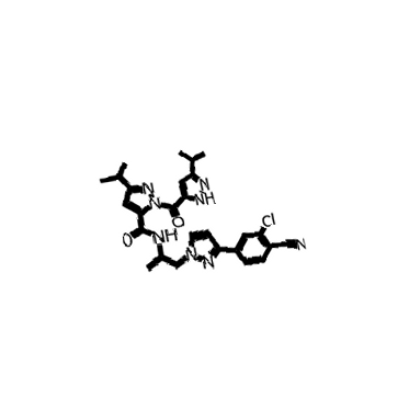 CC(Cn1ccc(-c2ccc(C#N)c(Cl)c2)n1)NC(=O)c1cc(C(C)C)nn1C(=O)c1cc(C(C)C)n[nH]1